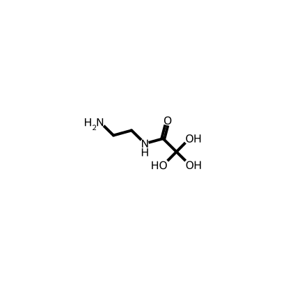 NCCNC(=O)C(O)(O)O